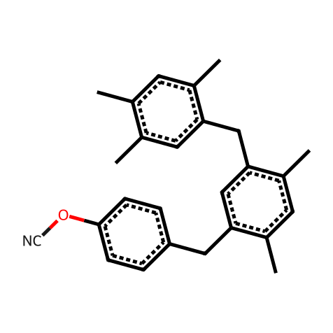 Cc1cc(C)c(Cc2cc(Cc3ccc(OC#N)cc3)c(C)cc2C)cc1C